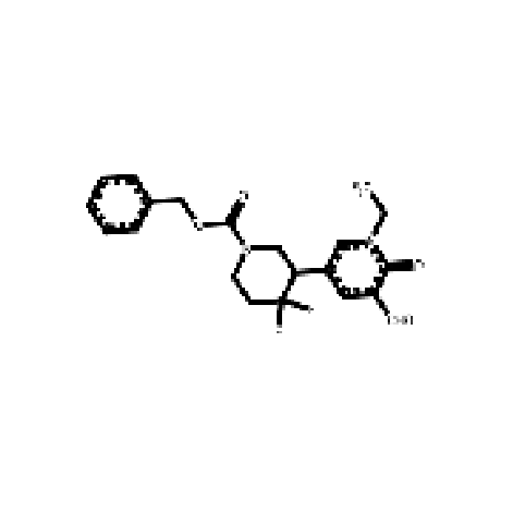 O=Cc1cc(C2CN(C(=O)OCc3ccccc3)CCC2(F)F)cn(CC(F)(F)F)c1=O